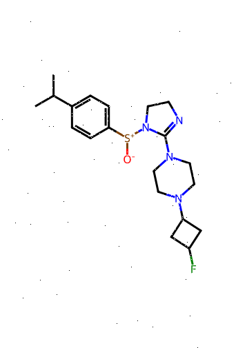 CC(C)c1ccc([S+]([O-])N2CCN=C2N2CCN(C3CC(F)C3)CC2)cc1